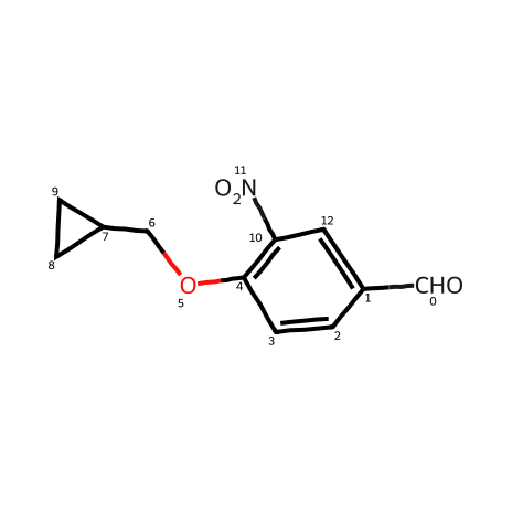 O=Cc1ccc(OCC2CC2)c([N+](=O)[O-])c1